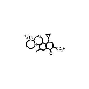 N[C@@H]1CCCCN2c3c(F)cc4c(=O)c(C(=O)O)cn(C5CC5)c4c3COC[C@H]12